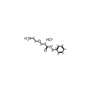 Cl.NCCOCCC(=O)SCc1ccccc1